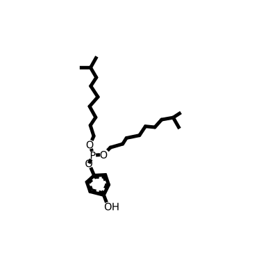 CC(C)CCCCCCCOP(OCCCCCCCC(C)C)Oc1ccc(O)cc1